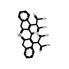 N=C1Cc2ccccc2C(C(C(=O)O)C(=O)O)=C1C(=O)C1=C(C(C(=O)O)C(=O)O)c2ccccc2CC1=N